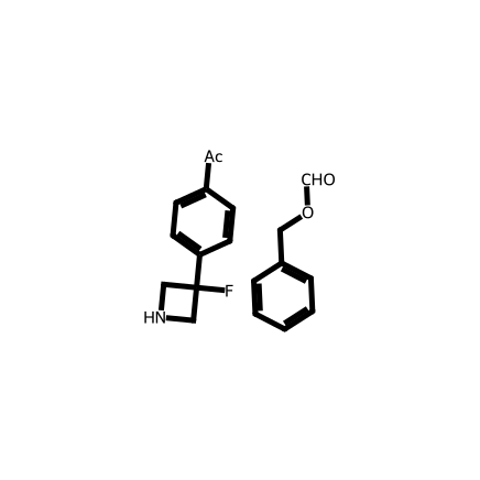 CC(=O)c1ccc(C2(F)CNC2)cc1.O=COCc1ccccc1